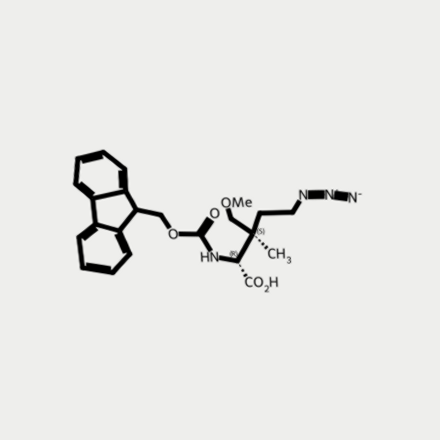 COC[C@@](C)(CCN=[N+]=[N-])[C@@H](NC(=O)OCC1c2ccccc2-c2ccccc21)C(=O)O